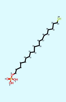 O=P(O)(O)OCCCCCCCCCCCCCCCCCCCS